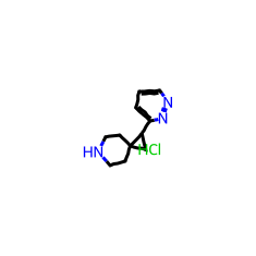 Cl.c1cnnc(C2CC23CCNCC3)c1